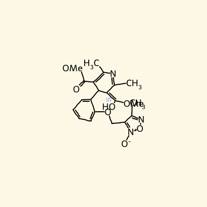 COC(=O)C1=C(C)N=C(C)/C(=C(/O)OC)C1c1ccccc1OCc1c(C)no[n+]1[O-]